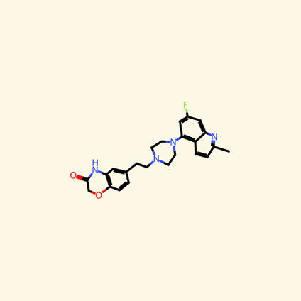 Cc1ccc2c(N3CCN(CCc4ccc5c(c4)NC(=O)CO5)CC3)cc(F)cc2n1